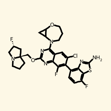 Nc1nc2c(-c3c(Cl)cc4c(N5CCCOC6CC65)nc(OC[C@@]56CCCN5C[C@H](F)C6)nc4c3F)ccc(F)c2s1